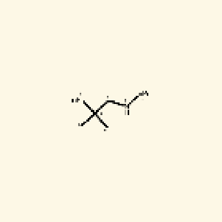 CCCNCC(C)(C)CCC